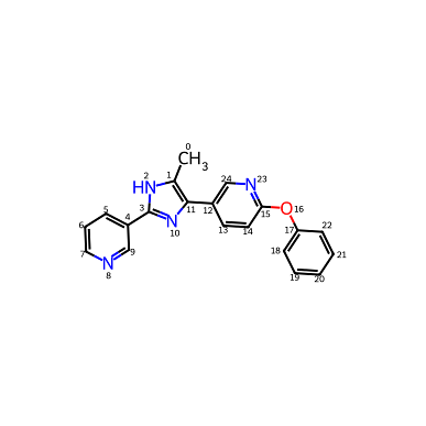 Cc1[nH]c(-c2cccnc2)nc1-c1ccc(Oc2ccccc2)nc1